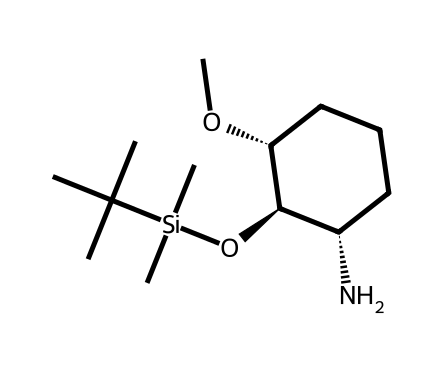 CO[C@@H]1CCC[C@H](N)[C@H]1O[Si](C)(C)C(C)(C)C